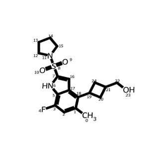 Cc1cc(F)c2[nH]c(S(=O)(=O)N3CCCC3)cc2c1C1CC(CO)C1